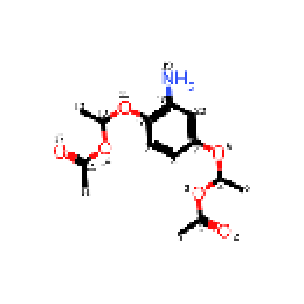 CC(=O)OC(C)Oc1ccc(OC(C)OC(C)=O)c(N)c1